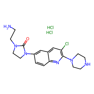 Cl.Cl.NCCN1CCN(c2ccc3nc(N4CCNCC4)c(Cl)cc3c2)C1=O